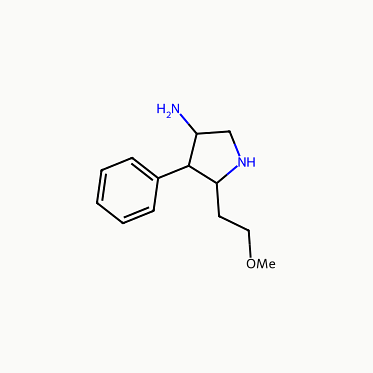 COCCC1NCC(N)C1c1ccccc1